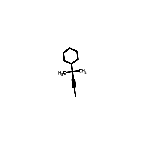 CC(C)(C#CI)C1CCCCC1